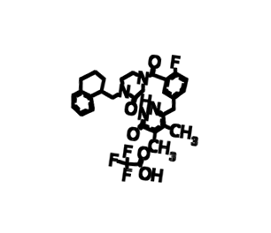 Cc1c(Cc2ccc(F)c(C(=O)N3CCN(CC4CCCc5ccccc54)C(=O)C3)c2)n[nH]c(=O)c1C.O=C(O)C(F)(F)F